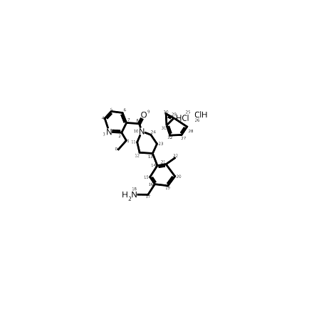 CCc1ncccc1C(=O)N1CCC(c2cc(CN)ccc2C)CC1.Cl.Cl.c1cc2cc-2c1